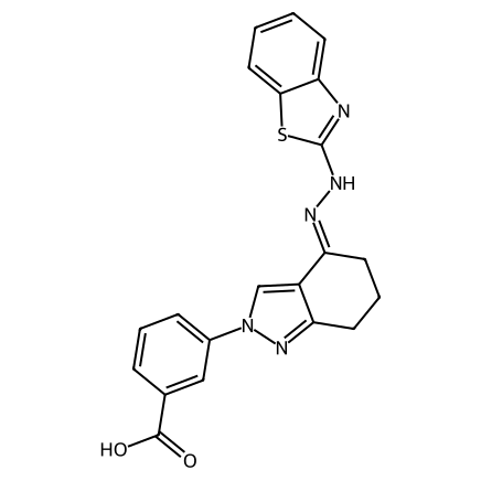 O=C(O)c1cccc(-n2cc3c(n2)CCC/C3=N\Nc2nc3ccccc3s2)c1